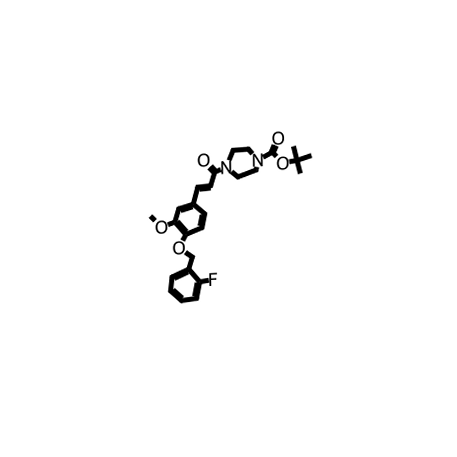 COc1cc(C=CC(=O)N2CCN(C(=O)OC(C)(C)C)CC2)ccc1OCc1ccccc1F